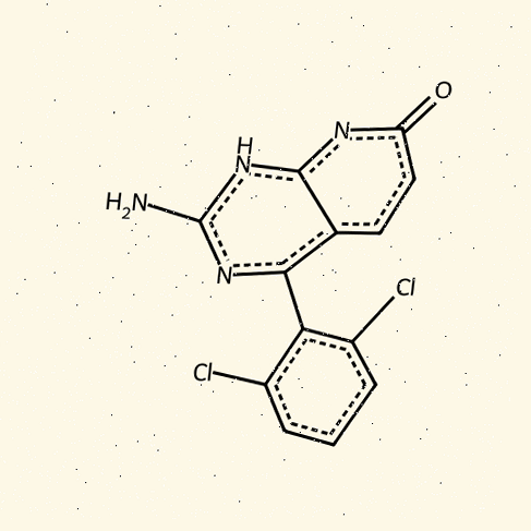 Nc1nc(-c2c(Cl)cccc2Cl)c2ccc(=O)nc-2[nH]1